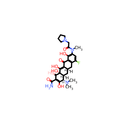 B=C1C(C(N)=O)=C(O)[C@@H](N(C)C)[C@@H]2C[C@@H]3Cc4c(F)cc(N(C)C(=O)CN5CCCC5)c(O)c4C(=O)C3=C(O)[C@]12O